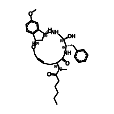 CCCCCC(=O)N(C)[C@H]1CC=CCO[C@@H]2C[C@H](NC[C@@H](O)[C@H](Cc3ccccc3)NC1=O)c1cc(OC)ccc12